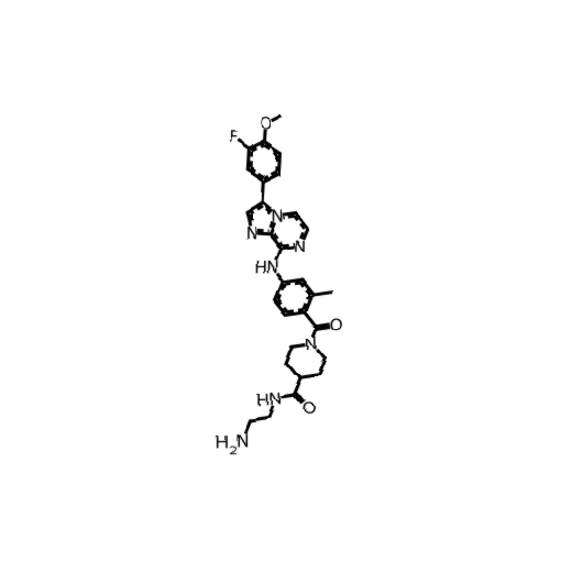 COc1ccc(-c2cnc3c(Nc4ccc(C(=O)N5CCC(C(=O)NCCN)CC5)c(C)c4)nccn23)cc1F